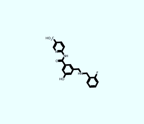 O=C(O)c1ccc(NC(=O)c2cc(O)cc(CNCc3ccccc3F)c2)nc1